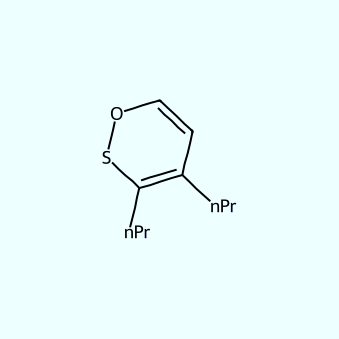 CCCC1=C(CCC)SOC=C1